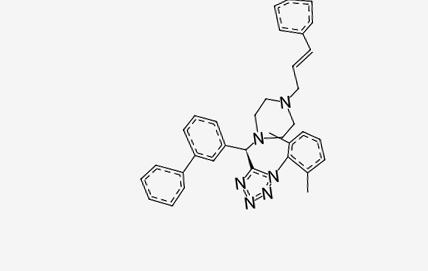 Cc1cccc(C)c1-n1nnnc1[C@@H](c1cccc(-c2ccccc2)c1)N1CCN(C/C=C/c2ccccc2)CC1